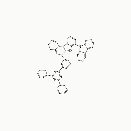 C1=Cc2c(cc(-c3cccc(-c4nc(-c5ccccc5)nc(-c5ccccc5)n4)c3)c3oc4c(-n5c6ccccc6c6ccccc65)cccc4c23)CC1